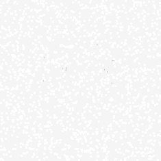 CC(C)n1cc(C(=O)NC(=N)N)c2ccccc2c1=O.Cl